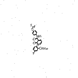 COc1cc(F)ccc1-n1cccc(C(=O)Nc2ccc(OC(F)F)cc2)c1=O